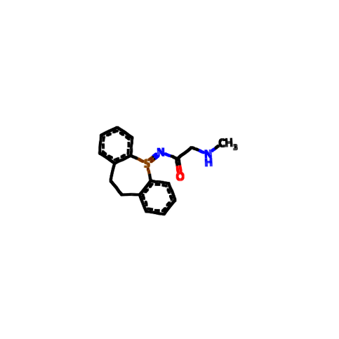 CNCC(=O)N=S1c2ccccc2CCc2ccccc21